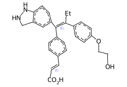 CC/C(=C(/c1ccc(/C=C/C(=O)O)cc1)c1ccc2c(c1)CNN2)c1ccc(OCCO)cc1